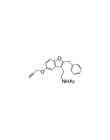 C#CCOc1ccc2oc(Cc3ccccc3)c(CCNC(C)=O)c2c1